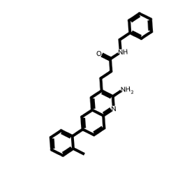 Cc1ccccc1-c1ccc2nc(N)c(CCC(=O)NCc3ccccc3)cc2c1